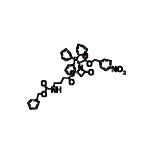 O=C(NCCCC(=O)S[C@H]1CC(=O)N1C(C(=O)OCc1ccc([N+](=O)[O-])cc1)=P(c1ccccc1)(c1ccccc1)c1ccccc1)OCc1ccccc1